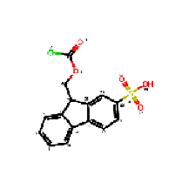 O=C(Cl)OCC1c2ccccc2-c2ccc(S(=O)(=O)O)cc21